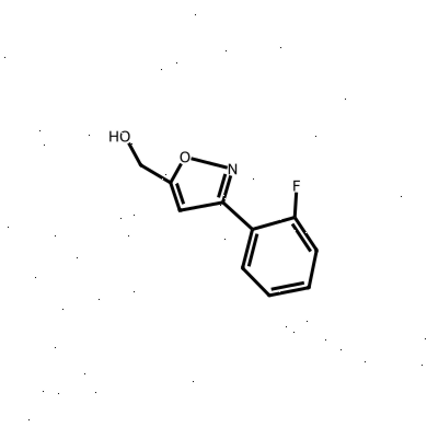 OCc1cc(-c2ccccc2F)no1